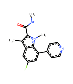 CNC(=O)c1c(C)c2cc(F)cc(-c3ccncc3)c2n1C